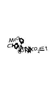 CCOC(=O)c1cn(C[C@@H]2OC(=O)N(c3ccc(Cl)cc3)[C@H]2c2cccc(OC)c2)nn1